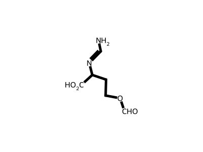 N/C=N/C(CCOC=O)C(=O)O